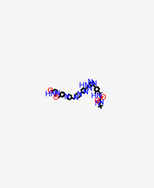 Cc1cc(-c2ncnc3[nH]c(-c4ccc(N5CCN(CC6CCN(c7ccc(N8CCC(=O)NC8=O)c(C)c7)CC6)CC5)cn4)nc23)ccc1[C@@H](C)NC(=O)c1nc(C(C)(C)C)no1